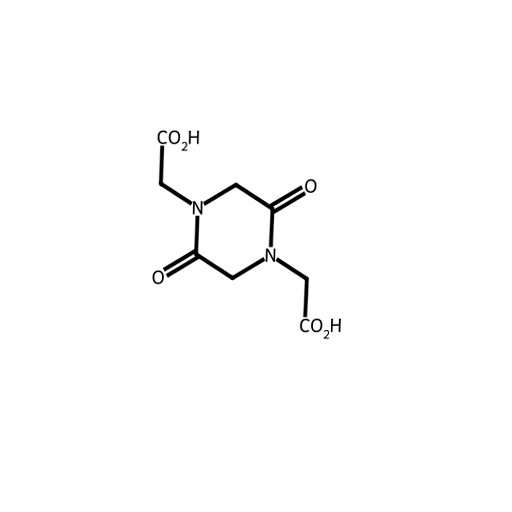 O=C(O)CN1CC(=O)N(CC(=O)O)CC1=O